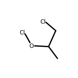 CC(CCl)OCl